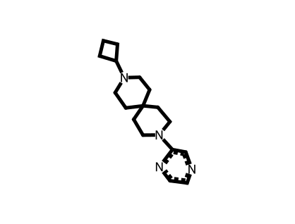 c1cnc(N2CCC3(CC2)CCN(C2CCC2)CC3)cn1